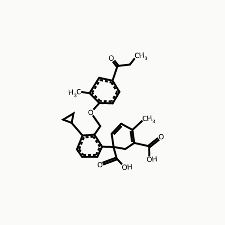 CCC(=O)c1ccc(OCc2c(C3CC3)cccc2C2(C(=O)O)C=CC(C)=C(C(=O)O)C2)c(C)c1